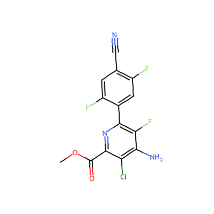 COC(=O)c1nc(-c2cc(F)c(C#N)cc2F)c(F)c(N)c1Cl